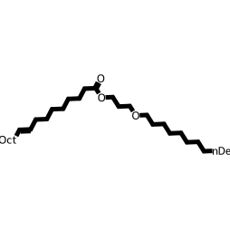 CCCCCCCCC=CCCCCCCCC(=O)OCCCOCCCCCCCCCCCCCCCCCC